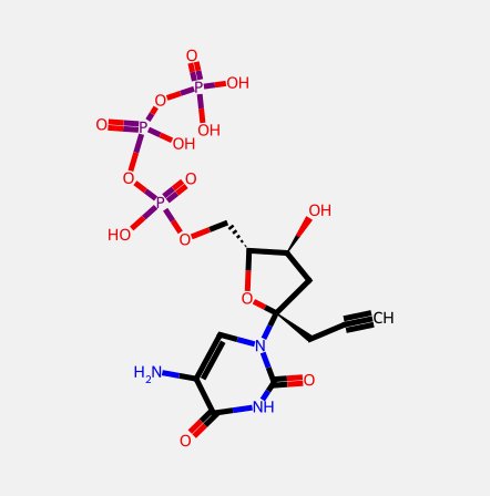 C#CC[C@]1(n2cc(N)c(=O)[nH]c2=O)C[C@H](O)[C@@H](COP(=O)(O)OP(=O)(O)OP(=O)(O)O)O1